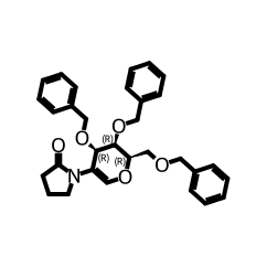 O=C1CCCN1C1=CO[C@H](COCc2ccccc2)[C@H](OCc2ccccc2)[C@@H]1OCc1ccccc1